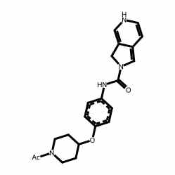 CC(=O)N1CCC(Oc2ccc(NC(=O)N3C=C4C=CNC=C4C3)cc2)CC1